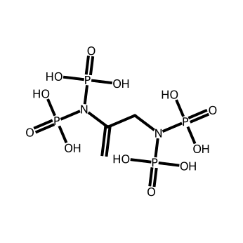 C=C(CN(P(=O)(O)O)P(=O)(O)O)N(P(=O)(O)O)P(=O)(O)O